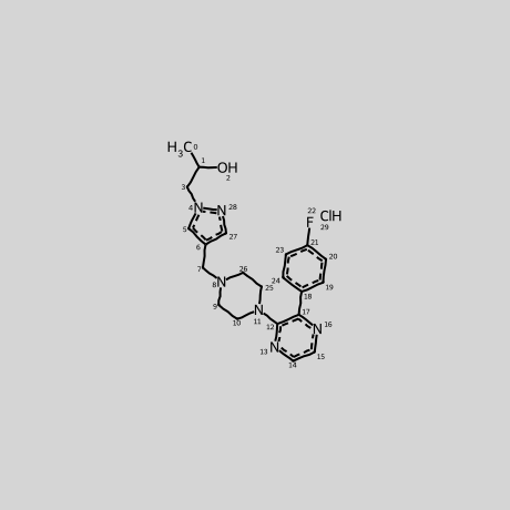 CC(O)Cn1cc(CN2CCN(c3nccnc3-c3ccc(F)cc3)CC2)cn1.Cl